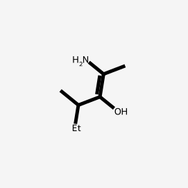 CCC(C)/C(O)=C(/C)N